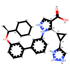 C[C@H](Oc1cccc(-c2cccc(-n3ncc(C(=O)O)c3[C@@H]3C[C@H]3c3c[nH]nn3)c2)c1)C1CCCCC1